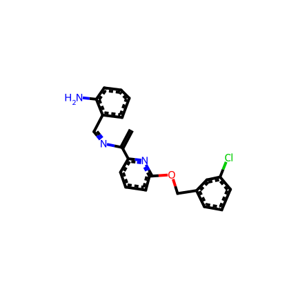 C=C(/N=C\c1ccccc1N)c1cccc(OCc2cccc(Cl)c2)n1